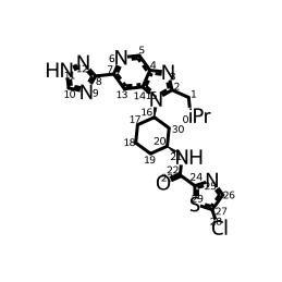 CC(C)Cc1nc2cnc(-c3nc[nH]n3)cc2n1[C@@H]1CCC[C@H](NC(=O)c2ncc(Cl)s2)C1